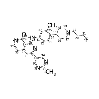 Cc1ncc(-c2cc3c(c(Nc4ccc(C5CCN(CCCF)CC5)c(C)c4)n2)C(=O)[N]C=C3)cn1